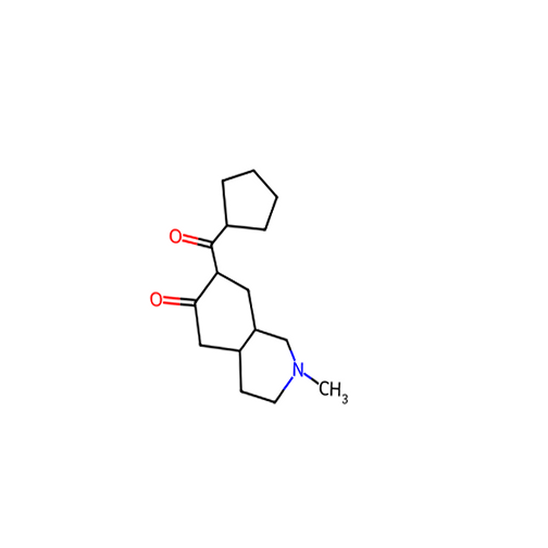 CN1CCC2CC(=O)C(C(=O)C3CCCC3)CC2C1